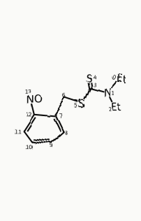 CCN(CC)C(=S)SCc1ccccc1N=O